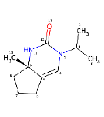 CC(C)N1C=C2CCC[C@]2(C)NC1=O